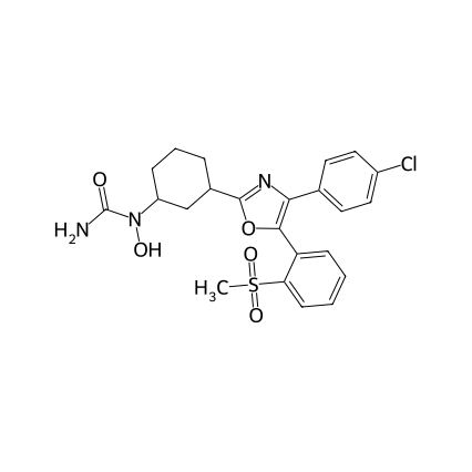 CS(=O)(=O)c1ccccc1-c1oc(C2CCCC(N(O)C(N)=O)C2)nc1-c1ccc(Cl)cc1